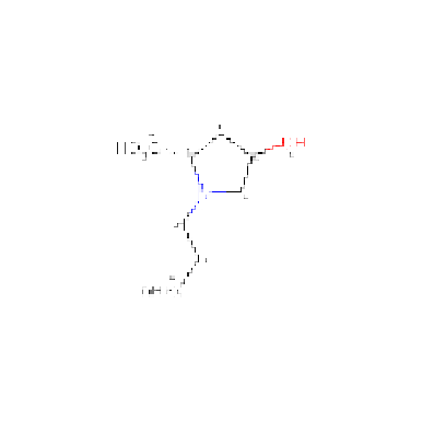 CCCCCCCCN1CC(O)C[C@H]1C(=O)O